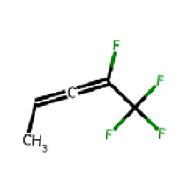 CC=C=C(F)C(F)(F)F